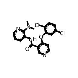 CN(C)c1ncccc1NC(=O)c1cnccc1Oc1cc(Cl)ccc1Cl